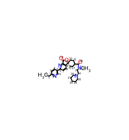 CCc1ccc(-c2ccc3c(n2)C(=O)O[C@]32CC[C@H](C(=O)N(C)CCN3CCCCC3)CC2)cn1